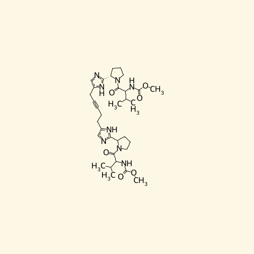 COC(=O)NC(C(=O)N1CCCC1c1ncc(CCC#CCc2cnc([C@@H]3CCCN3C(=O)C(NC(=O)OC)C(C)C)[nH]2)[nH]1)C(C)C